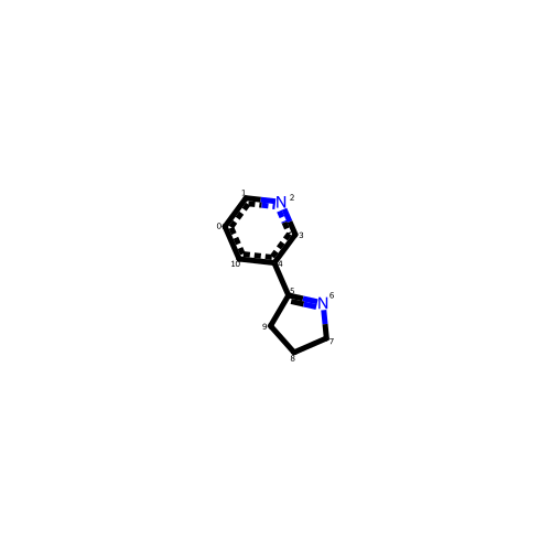 [c]1cncc(C2=NCCC2)c1